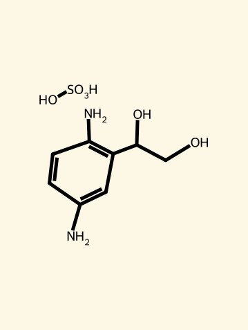 Nc1ccc(N)c(C(O)CO)c1.O=S(=O)(O)O